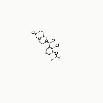 O=C1CCC2CN(C(=O)c3cccc(OC(F)F)c3Cl)CCN2C1